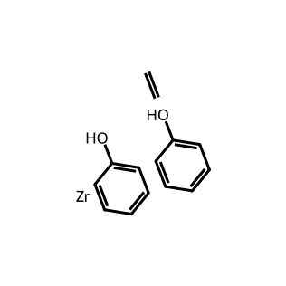 C=C.Oc1ccccc1.Oc1ccccc1.[Zr]